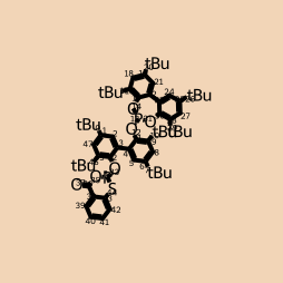 CC(C)(C)c1cc(-c2cc(C(C)(C)C)cc(C(C)(C)C)c2Op2oc3c(C(C)(C)C)cc(C(C)(C)C)cc3c3cc(C(C)(C)C)cc(C(C)(C)C)c3o2)c(OP2OC(=O)c3ccccc3S2)c(C(C)(C)C)c1